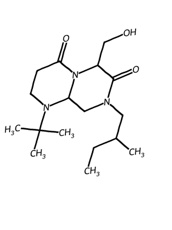 CCC(C)CN1CC2N(C(=O)CCN2C(C)(C)C)C(CO)C1=O